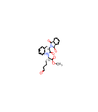 COC(=O)[C@H](CCCC=O)NC(=O)[C@H](Cc1ccccc1)N1C(=O)c2ccccc2C1=O